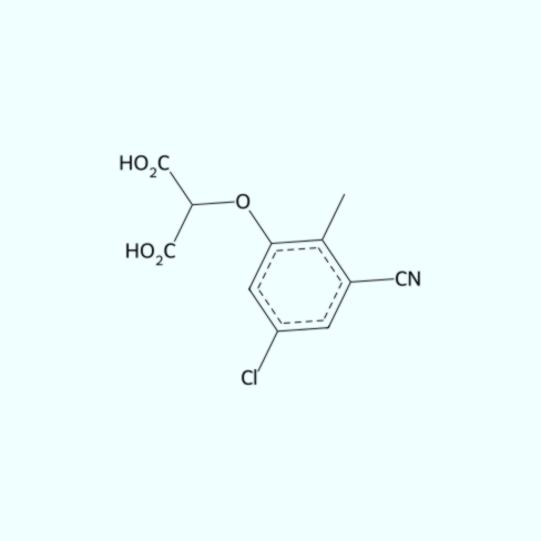 Cc1c(C#N)cc(Cl)cc1OC(C(=O)O)C(=O)O